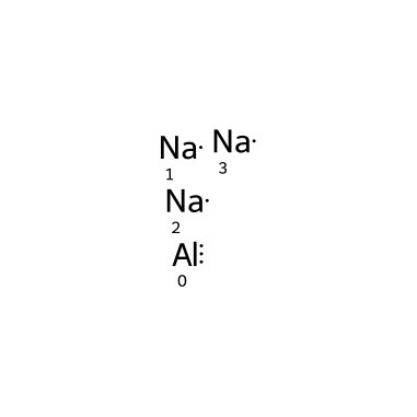 [Al].[Na].[Na].[Na]